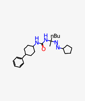 CCCCC(C)(N=NC1CCCC1)NC(=O)NC1CCC(c2ccccc2)CC1